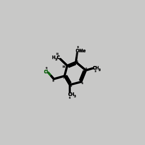 COc1c(C)cc(C)c(CCl)c1C